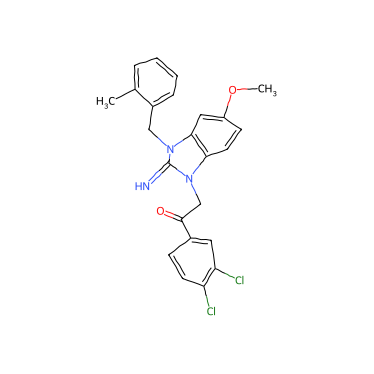 COc1ccc2c(c1)n(Cc1ccccc1C)c(=N)n2CC(=O)c1ccc(Cl)c(Cl)c1